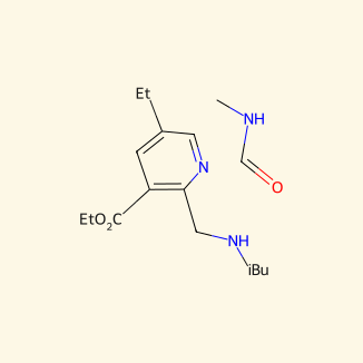 CCOC(=O)c1cc(CC)cnc1CNC(C)CC.CNC=O